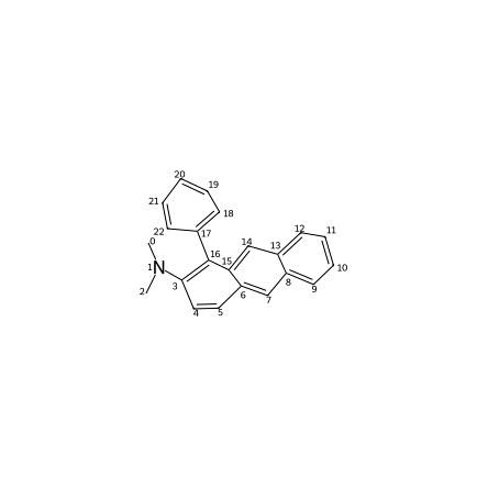 CN(C)c1ccc2cc3ccccc3cc2c1-c1ccccc1